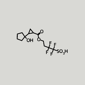 O=C(OCCC(F)(F)C(F)(F)S(=O)(=O)O)C1CC1C1(O)CCCC1